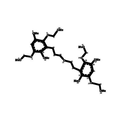 COCOc1cc(OC)c(OCOC)c(CCCOCCc2c(OC)c(OCOC)cc(OC)c2OCOC)c1OC